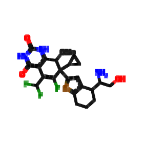 COC1c2[nH]c(=O)[nH]c(=O)c2C(C(F)F)=C(F)C1(c1cc2c(s1)CCCC2C(N)CO)C1CC1